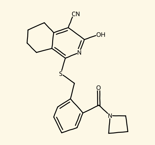 N#Cc1c(O)nc(SCc2ccccc2C(=O)N2CCC2)c2c1CCCC2